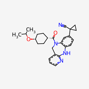 CC(C)O[C@H]1CC[C@H](C(=O)N2Cc3cccnc3Nc3ccc(C4(C#N)CC4)cc32)CC1